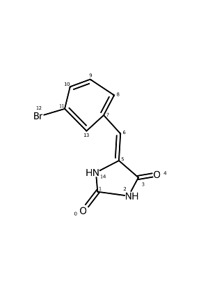 O=C1NC(=O)C(=Cc2cccc(Br)c2)N1